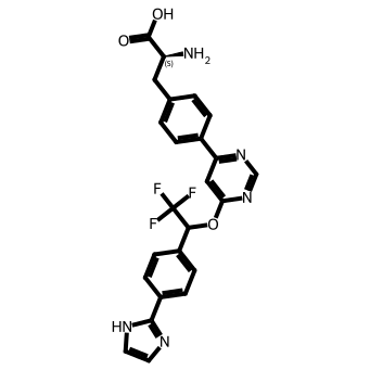 N[C@@H](Cc1ccc(-c2cc(OC(c3ccc(-c4ncc[nH]4)cc3)C(F)(F)F)ncn2)cc1)C(=O)O